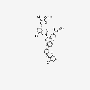 Cc1cc(Cl)c(O[C@@H]2CCN(c3ccc([C@H]4CCN(C(=O)OC(C)(C)C)C[C@@H]4C(=O)N(Cc4cc(CCN(C(=O)OC(C)(C)C)C5CC5)ccc4Cl)C4CC4)cn3)C2)c(Cl)c1